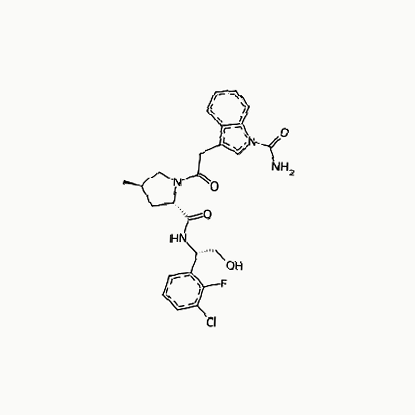 C[C@@H]1C[C@@H](C(=O)N[C@H](CO)c2cccc(Cl)c2F)N(C(=O)Cc2cn(C(N)=O)c3ccccc23)C1